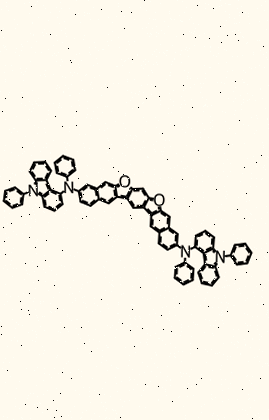 c1ccc(N(c2ccc3cc4c(cc3c2)oc2cc3oc5cc6cc(N(c7ccccc7)c7cccc8c7c7ccccc7n8-c7ccccc7)ccc6cc5c3cc24)c2cccc3c2c2ccccc2n3-c2ccccc2)cc1